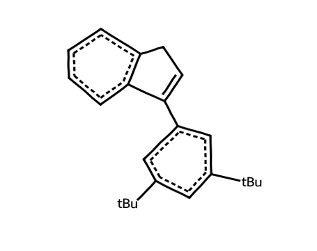 CC(C)(C)c1cc(C2=CCc3ccccc32)cc(C(C)(C)C)c1